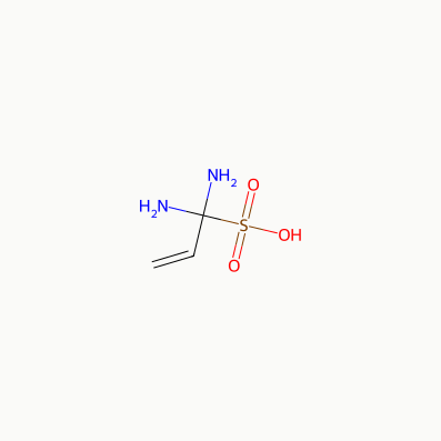 C=CC(N)(N)S(=O)(=O)O